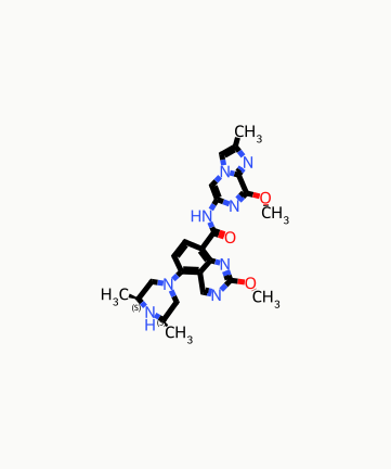 COc1ncc2c(N3C[C@H](C)N[C@@H](C)C3)ccc(C(=O)Nc3cn4cc(C)nc4c(OC)n3)c2n1